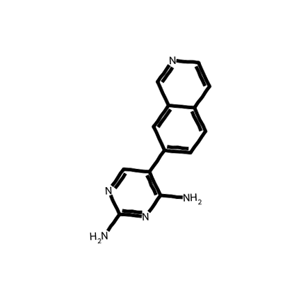 Nc1ncc(-c2ccc3ccncc3c2)c(N)n1